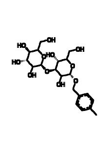 Cc1ccc(CO[C@H]2OC(CO)[C@@H](O)[C@H](O[C@@H]3OC(CO)[C@H](O)[C@@H](O)C3O)C2O)cc1